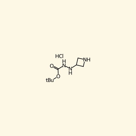 CC(C)(C)OC(=O)NNC1CNC1.Cl